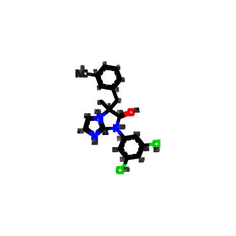 CC1(Cc2cccc(C#N)c2)C(=O)N(c2cc(Cl)cc(Cl)c2)c2nccn21